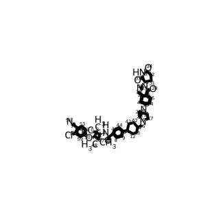 CC1(C)[C@H](NC(=O)c2ccc(C3CCC(CN4CC5CC4CN5c4ccc5c(=O)n(C6CCC(=O)NC6=O)ncc5c4)CC3)cc2)C(C)(C)[C@H]1Oc1ccc(C#N)c(Cl)c1